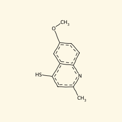 COc1ccc2nc(C)cc(S)c2c1